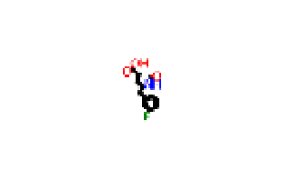 O=CNC(CCC(=O)O)Cc1cccc(F)c1